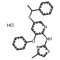 Cc1csc(Nc2ncc(SC(C)c3ccccc3)cc2Oc2ccccc2)n1.Cl